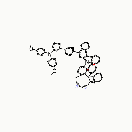 C=C1/C=C\C=C/Cc2ccc(-n3c4ccccc4c4c5ccccc5c(-c5ccc(-c6cccc(N(c7ccc(OC)cc7)c7ccc(OC)cc7)c6)cc5)cc43)cc2C1(c1ccccc1)c1ccccc1